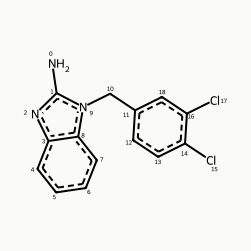 Nc1nc2ccccc2n1Cc1ccc(Cl)c(Cl)c1